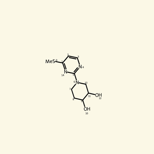 CSc1ccnc(N2CCC(O)C(O)C2)n1